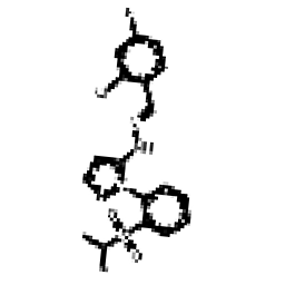 CC(C)S(=O)(=O)c1ccccc1-n1nccc1NN=Cc1ccc(F)cc1Cl